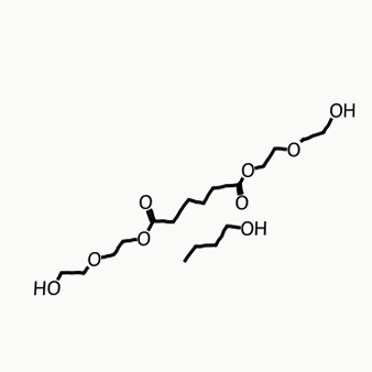 CCCCO.O=C(CCCCC(=O)OCCOCCO)OCCOCCO